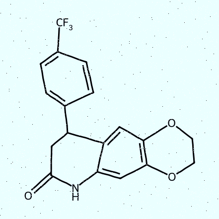 O=C1CC(c2ccc(C(F)(F)F)cc2)c2cc3c(cc2N1)OCCO3